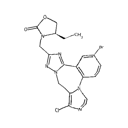 CC[C@@H]1COC(=O)N1Cc1nc2n(n1)Cc1c(Cl)ncn1-c1ccc(Br)cc1-2